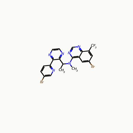 CC(c1nccnc1-c1ccc(Br)cn1)N(C)c1ncnc2c(C(F)(F)F)cc(Br)cc12